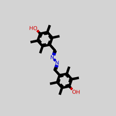 Cc1c(C)c(/C=N/N=C/c2c(C)c(C)c(O)c(C)c2C)c(C)c(C)c1O